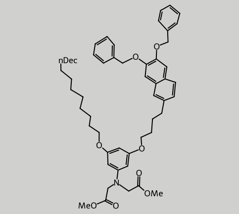 CCCCCCCCCCCCCCCCCCOc1cc(OCCCCc2ccc3cc(OCc4ccccc4)c(OCc4ccccc4)cc3c2)cc(N(CC(=O)OC)CC(=O)OC)c1